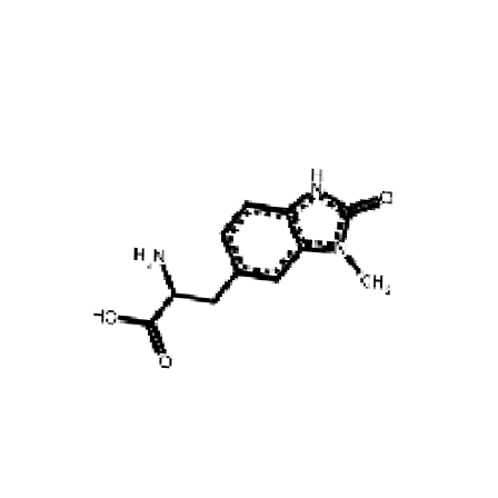 Cn1c(=O)[nH]c2ccc(CC(N)C(=O)O)cc21